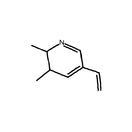 C=CC1=CC(C)C(C)N=C1